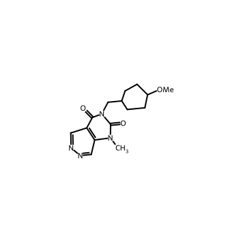 COC1CCC(Cn2c(=O)c3cnncc3n(C)c2=O)CC1